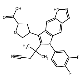 CC(C)(CC#N)c1c(C2COC(C(=O)O)C2)c2cc3[nH]ncc3cc2n1-c1ccc(F)c(F)c1